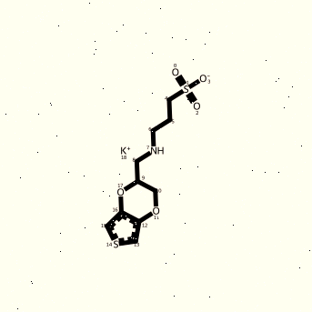 O=S(=O)([O-])CCCNCC1COc2cscc2O1.[K+]